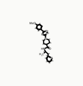 COc1ccc(-c2noc(N3CCC(C(=O)NC(C)Cc4ccccn4)CC3)n2)cc1